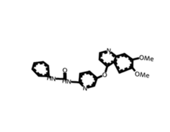 COc1cc2nccc(Oc3ccc(NC(=O)Nc4ccccc4)nc3)c2cc1OC